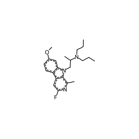 CCCN(CCC)C(C)Cn1c2cc(OC)ccc2c2cc(F)nc(C)c21